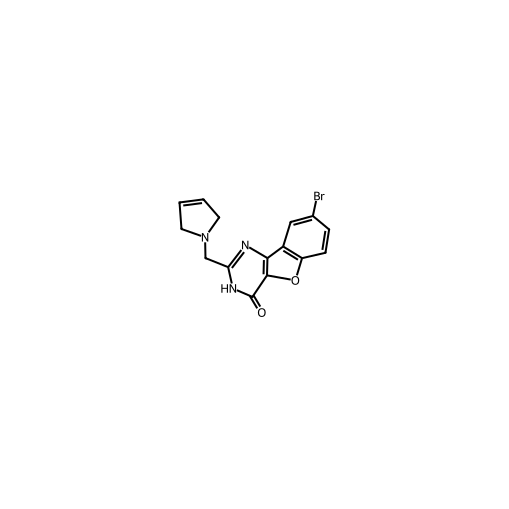 O=c1[nH]c(CN2CC=CC2)nc2c1oc1ccc(Br)cc12